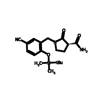 CC(C)(C)[Si](C)(C)Oc1ccc(C#N)cc1CN1CC[C@@H](C(N)=O)C1=O